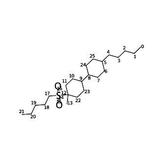 CCCCCC1CCC(C2CCC(C)(S(=O)(=O)CCCCC)CC2)CC1